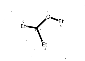 [CH2]CC(CC)OCC